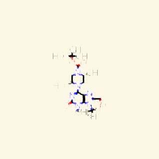 [2H]C([2H])([2H])n1c(C=O)nc2c(N3C[C@@H](C)N(C(=O)OC(C)(C)C)C[C@@H]3C)nc(=O)n(C)c21